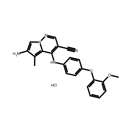 COc1ccccc1Oc1ccc(Nc2c(C#N)cnn3cc(N)c(C)c23)cc1.Cl